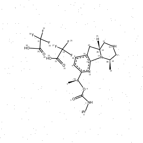 CC(C)NC(=O)O[C@@H](C)c1ccc2c(n1)N1[C@@H](CNC[C@H]1C)C2.O=C(O)C(F)(F)F.O=C(O)C(F)(F)F